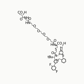 CC(C)(C)C(c1cc(-c2cc(F)ccc2F)cn1Cc1ccccc1)N(C[C@@H]1CNC[C@@H]1F)C(=O)CSC[C@H](NC(=O)CCOCCOCCOCCOCCNC(=O)CNC(=O)CCC(=O)O)C(=O)O